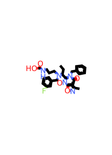 CCC(c1nc2onc(C)c2c(=O)n1Cc1ccccc1)N(CCCNC(=O)O)C(=O)c1cccc(F)c1